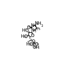 Cc1cn([C@@H]2O[C@H](C(C)OP(=O)(O)O)[C@@H](O)[C@H]2O)c(=O)nc1N